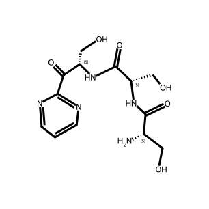 N[C@@H](CO)C(=O)N[C@@H](CO)C(=O)N[C@@H](CO)C(=O)c1ncccn1